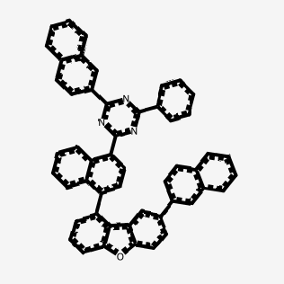 c1ccc(-c2nc(-c3ccc4ccccc4c3)nc(-c3ccc(-c4cccc5oc6ccc(-c7ccc8ccccc8c7)cc6c45)c4ccccc34)n2)cc1